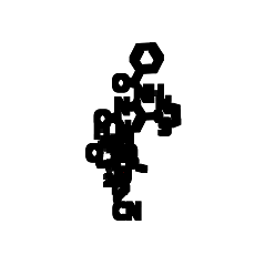 [2H]C[C@@]12CO[C@@H]([C@H](n3cc(-c4nccs4)c(NC(=O)c4ccccc4)nc3=O)O1)[C@@H]2OP(C)OCCC#N